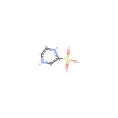 [O]S(=O)(=O)c1cnccn1